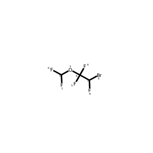 FC(F)OC(F)(F)C(F)Br